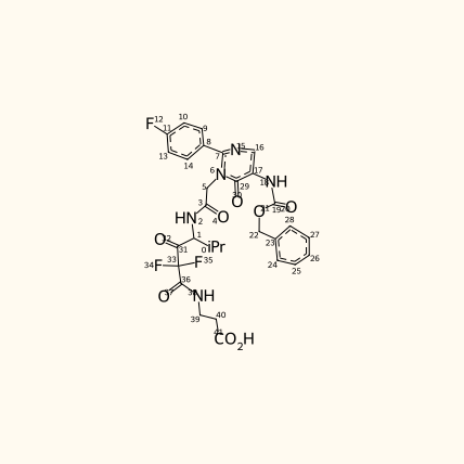 CC(C)C(NC(=O)Cn1c(-c2ccc(F)cc2)ncc(NC(=O)OCc2ccccc2)c1=O)C(=O)C(F)(F)C(=O)NCCC(=O)O